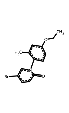 CCOc1ccc(-n2cc(Br)ccc2=O)c(C)c1